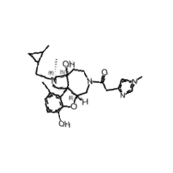 Cc1ccc(O)c2c1C13CCN(CC4CC4C)[C@H](C)[C@]1(O)CCN(C(=O)Cc1cn(C)cn1)C[C@@H]3O2